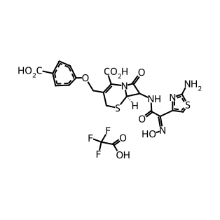 Nc1nc(/C(=N/O)C(=O)NC2C(=O)N3C(C(=O)O)=C(COc4ccc(C(=O)O)cc4)CS[C@H]23)cs1.O=C(O)C(F)(F)F